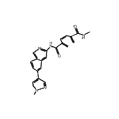 C=C(/C=C\C(=C)C(=O)Nc1cc2cc(-c3cnn(C)c3)ccc2cn1)C(=O)NC